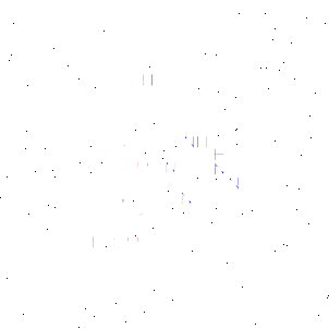 COc1ccc(OC)c(-c2nc(Nc3ccc(OC)c(OC)c3)c3[nH]ncc3n2)c1